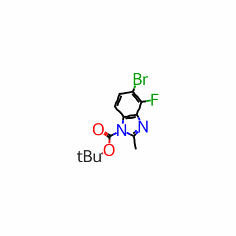 Cc1nc2c(F)c(Br)ccc2n1C(=O)OC(C)(C)C